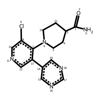 NC(=O)C1CCN(c2c(Cl)cncc2-c2cncnc2)CC1